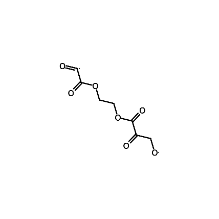 [O]CC(=O)C(=O)OCCOC(=O)[C]=O